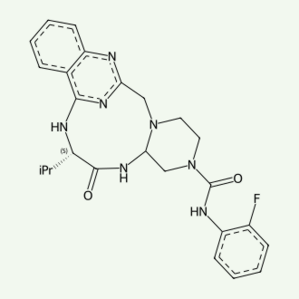 CC(C)[C@@H]1Nc2nc(nc3ccccc23)CN2CCN(C(=O)Nc3ccccc3F)CC2NC1=O